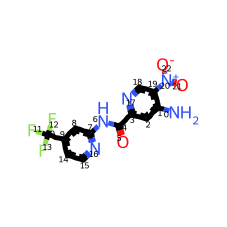 Nc1cc(C(=O)Nc2cc(C(F)(F)F)ccn2)ncc1[N+](=O)[O-]